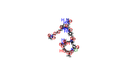 COc1cc2cc(c1Cl)N(C)C(=O)CC(OC(=O)C(C)C)C(C)[C@@H](O)C(C)C1CC(O)(NC(=O)O1)C(OC)/C=C/C1N(C(=O)OCc3ccc(NC(=O)[C@H](CCCNC(N)=O)NC(=O)[C@@H](NC(=O)CCOCCOCCN4C(=O)C=CC4=O)C(C)C)cc3)C1(C)C2